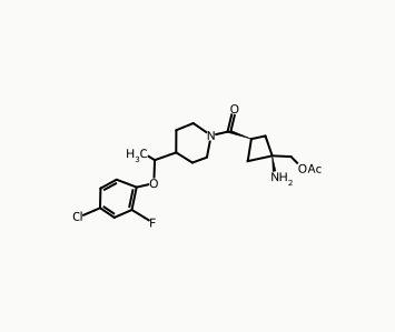 CC(=O)OC[C@]1(N)C[C@@H](C(=O)N2CCC(C(C)Oc3ccc(Cl)cc3F)CC2)C1